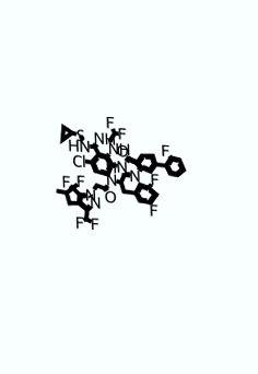 CC1Cc2c(C(F)F)nn(CC(=O)NC(Cc3cc(F)cc(F)c3)c3nc4cc(-c5ccccc5F)ccc4c(=O)n3-c3ccc(Cl)c(C(=N)NSC4CC4)c3NCC(F)F)c2C1(F)F